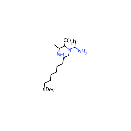 CCCCCCCCCCCCCCCCCCN(C(C)N)C(C(=O)O)C(C)N